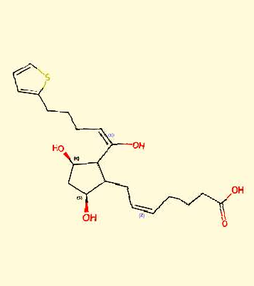 O=C(O)CCC/C=C\CC1C(/C(O)=C\CCCc2cccs2)[C@H](O)C[C@@H]1O